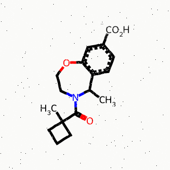 CC1c2ccc(C(=O)O)cc2OCCN1C(=O)C1(C)CCC1